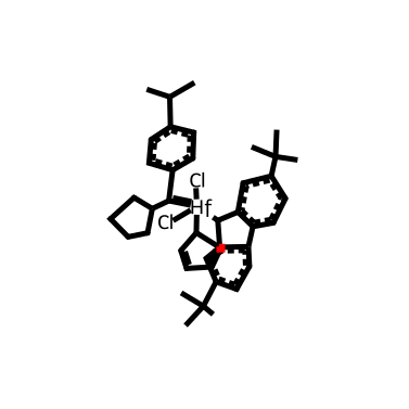 CC(C)c1ccc([C](C2CCCC2)=[Hf]([Cl])([Cl])([CH]2C=CC=C2)[CH]2c3cc(C(C)(C)C)ccc3-c3ccc(C(C)(C)C)cc32)cc1